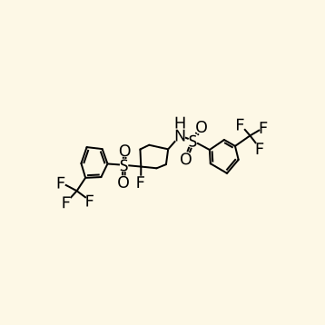 O=S(=O)(NC1CCC(F)(S(=O)(=O)c2cccc(C(F)(F)F)c2)CC1)c1cccc(C(F)(F)F)c1